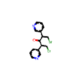 O=C(C(CBr)c1cccnc1)C(CBr)c1cccnc1